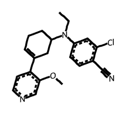 CCN(c1ccc(C#N)c(Cl)c1)C1CCC=C(c2ccncc2OC)C1